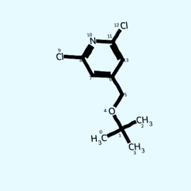 CC(C)(C)OCc1cc(Cl)nc(Cl)c1